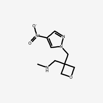 CNCC1(Cn2cc([N+](=O)[O-])cn2)COC1